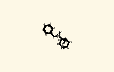 CN(Cc1ccccc1)C1CN2CCC1CC2